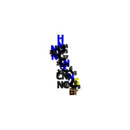 N#CC[C@@H]([C@H]1CCN(c2scc(Br)c2C#N)C1)n1cc(-c2ncnc3[nH]ccc23)cn1